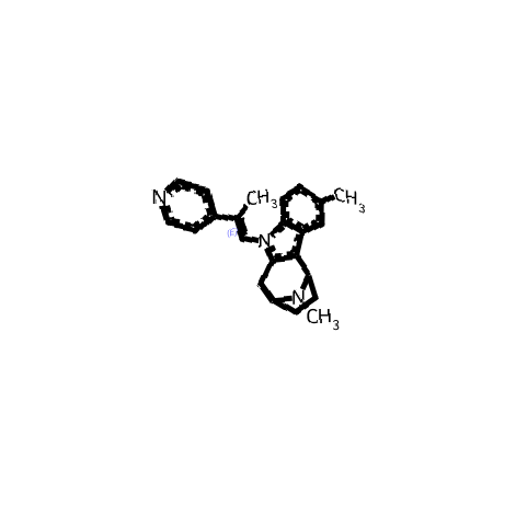 C/C(=C\n1c2c(c3cc(C)ccc31)C1CCC(C2)N1C)c1ccncc1